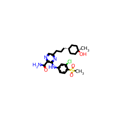 CS(=O)(=O)c1ccc(Nc2nc(CCC[C@H]3CC[C@](C)(O)CC3)cnc2C(N)=O)cc1Cl